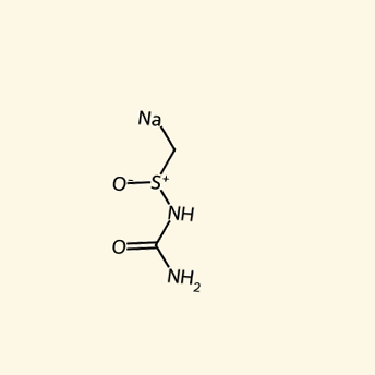 NC(=O)N[S+]([O-])[CH2][Na]